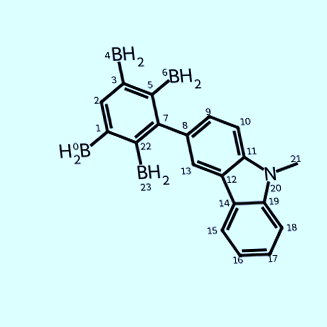 Bc1cc(B)c(B)c(-c2ccc3c(c2)c2ccccc2n3C)c1B